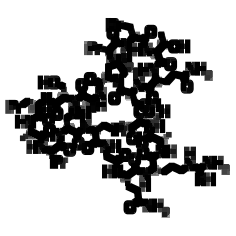 CC(C)C[C@H](NC(=O)[C@H](CO)NC(=O)[C@@H](NC(=O)[C@H](C)NC(=O)[C@H](CC(C)C)NC(=O)[C@H](CO)NC(=O)[C@H](C)NC(=O)[C@@H]1CCCN1C(=O)[C@H](CO)NC(=O)[C@H](CCC(N)=O)NC(=O)[C@@H](NC(=O)[C@H](CC(C)C)NC(=O)[C@@H](N)C(C)C)[C@@H](C)O)C(C)C)C(=O)NCC(=O)N[C@@H](CCC(N)=O)C(=O)N[C@@H](CCCNC(=N)N)C(=O)N[C@@H](C)C(=O)N[C@H](C(=O)O)[C@@H](C)O